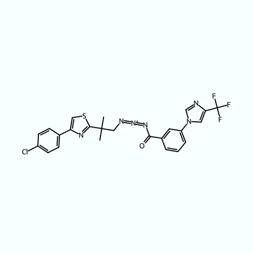 CC(C)(CN=[N+]=NC(=O)c1cccc(-n2cnc(C(F)(F)F)c2)c1)c1nc(-c2ccc(Cl)cc2)cs1